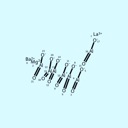 [Ba+2].[La+3].[Mg+2].[O]=[Al][O-].[O]=[Al][O-].[O]=[Al][O-].[O]=[Al][O-].[O]=[Al][O-].[O]=[Al][O-].[O]=[Al][O-]